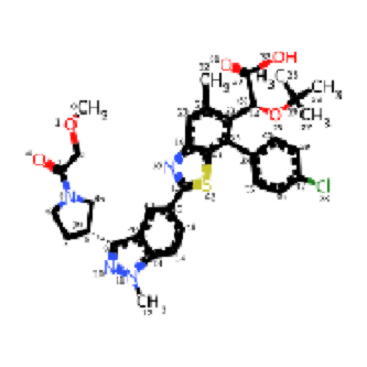 COCC(=O)N1CC[C@@H](c2nn(C)c3ccc(-c4nc5cc(C)c([C@H](OC(C)(C)C)C(=O)O)c(-c6ccc(Cl)cc6)c5s4)cc23)C1